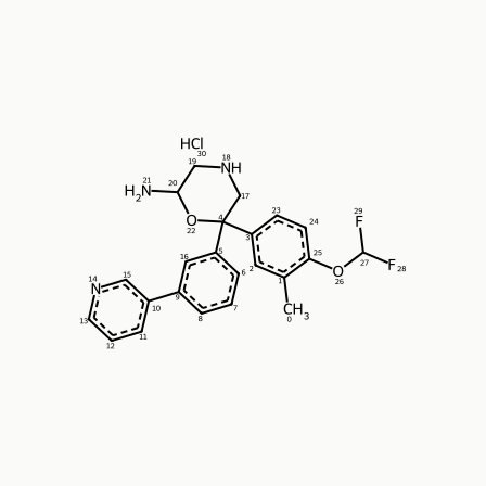 Cc1cc(C2(c3cccc(-c4cccnc4)c3)CNCC(N)O2)ccc1OC(F)F.Cl